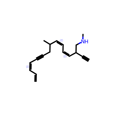 C#CC(/C=C\C=C/C(C)CC#C/C=C\C=C)CNC